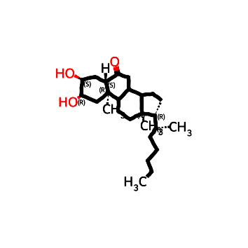 CCCCC[C@@H](C)[C@H]1CCC2C3CC(=O)[C@H]4C[C@H](O)[C@H](O)C[C@]4(C)C3CC[C@@]21C